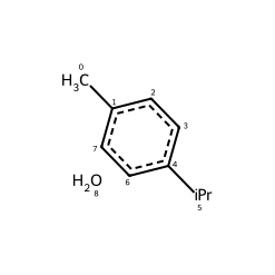 Cc1ccc(C(C)C)cc1.O